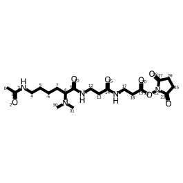 CC(=O)NCCCCC(C(=O)NCCC(=O)NCCC(=O)ON1C(=O)CCC1=O)N(C)C